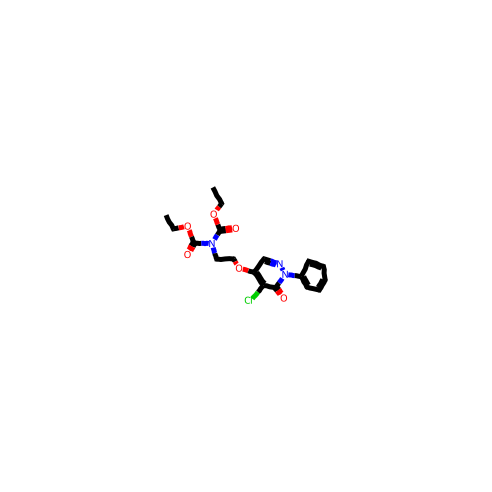 CCOC(=O)N(CCOc1cnn(-c2ccccc2)c(=O)c1Cl)C(=O)OCC